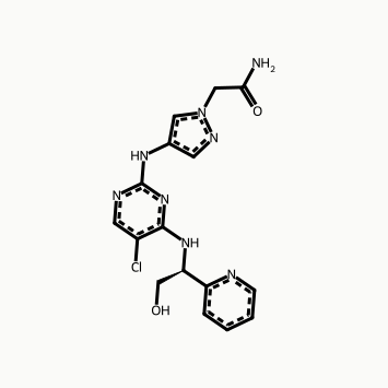 NC(=O)Cn1cc(Nc2ncc(Cl)c(N[C@H](CO)c3ccccn3)n2)cn1